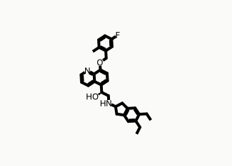 CCc1cc2c(cc1CC)CC(NC[C@@H](O)c1ccc(OCc3cc(F)ccc3C)c3ncccc13)C2